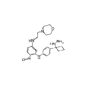 BNC1(c2ccc(Nc3nc(NCCN4CCOCC4)ccc3N=O)cc2)CCC1